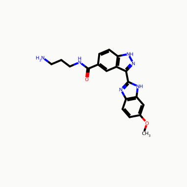 COc1ccc2nc(-c3n[nH]c4ccc(C(=O)NCCCN)cc34)[nH]c2c1